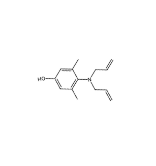 C=CCN(CC=C)c1c(C)cc(O)cc1C